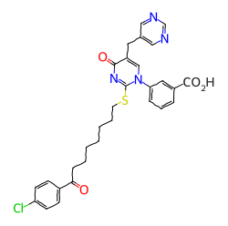 O=C(O)c1cccc(-n2cc(Cc3cncnc3)c(=O)nc2SCCCCCCCC(=O)c2ccc(Cl)cc2)c1